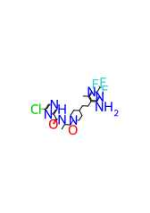 Cc1nc(C(F)(F)F)nc(N)c1CCC1CCN(C(=O)C(C)NC(=O)c2cncc(Cl)n2)CC1